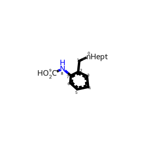 CCCCCCCCc1ccccc1NC(=O)O